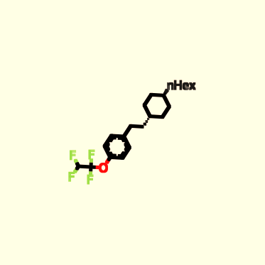 CCCCCC[C@H]1CC[C@H](CCc2ccc(OC(F)(F)C(F)F)cc2)CC1